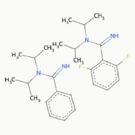 CC(C)N(C(=N)c1c(F)cccc1F)C(C)C.CC(C)N(C(=N)c1ccccc1)C(C)C